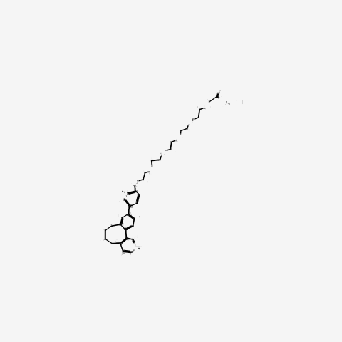 CC(C)(C)OC(=O)COCCOCCOCCOCCOCCOc1ccc(-c2ccc3c(c2)CCCCc2ccncc2-3)cn1